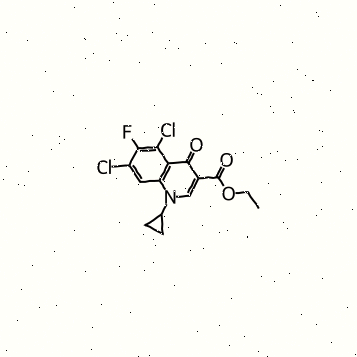 CCOC(=O)c1cn(C2CC2)c2cc(Cl)c(F)c(Cl)c2c1=O